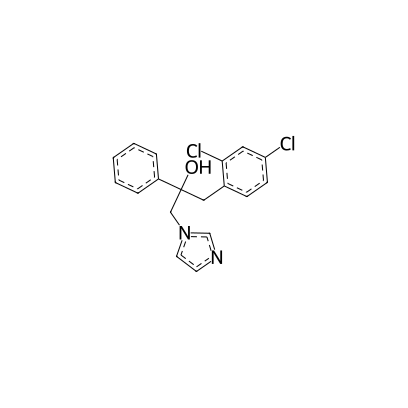 OC(Cc1ccc(Cl)cc1Cl)(Cn1ccnc1)c1ccccc1